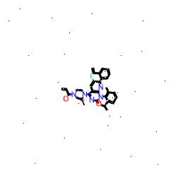 C=CC(=O)N1CCN(c2nc(=O)n(-c3c(C)cccc3C(C)C)c3nc(-c4ccccc4C=C)c(F)cc23)[C@@H](C)C1